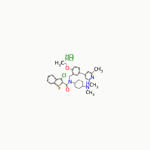 CCOc1ccc(-c2cc(C)nc(C)c2)cc1CN(C(=O)c1sc2ccccc2c1Cl)C1CCC(NC)CC1.Cl.Cl